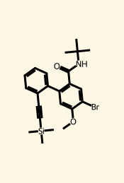 COc1cc(-c2ccccc2C#C[Si](C)(C)C)c(C(=O)NC(C)(C)C)cc1Br